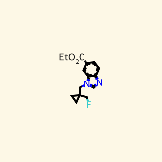 CCOC(=O)c1ccc2ncn(CC3(CF)CC3)c2c1